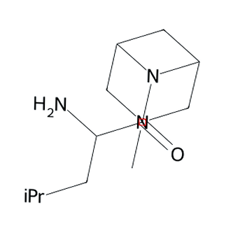 CC(C)CC(N)C(=O)N1C2CC1CN(C)C2